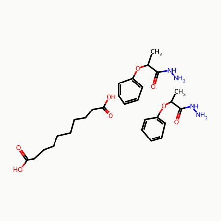 CC(Oc1ccccc1)C(=O)NN.CC(Oc1ccccc1)C(=O)NN.O=C(O)CCCCCCCCC(=O)O